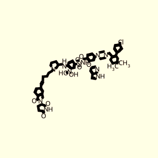 CC1(C)CCC(CN2CCN(c3ccc(C(=O)NS(=O)(=O)c4ccc(NCC5CCCN(CCCCC#Cc6ccc7c(c6)CN(C6CCC(=O)NC6=O)C7=O)C5)c(N(O)O)c4)c(Oc4cnc5[nH]ccc5c4)c3)CC2)=C(c2ccc(Cl)cc2)C1